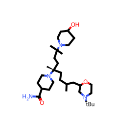 CC(CC[C@@](C)(CCC(C)(C)N1CCC(O)CC1)N1CCC(C(N)=O)CC1)CC1CN(C(C)(C)C)CCO1